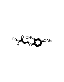 COc1ccc(OCCC(=O)NC(C)C)c(C=O)c1